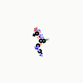 COc1c(NC(=O)N[C@H]2CC[C@@H](Oc3ccc4nnc(N5CCC(CN(C)C)CC5)n4c3)c3ccccc32)cc(C(C)(C)C)cc1NS(C)(=O)=O.[Cl-].[H+]